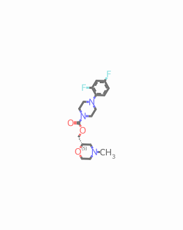 CN1CCO[C@H](COC(=O)N2CCN(c3ccc(F)cc3F)CC2)C1